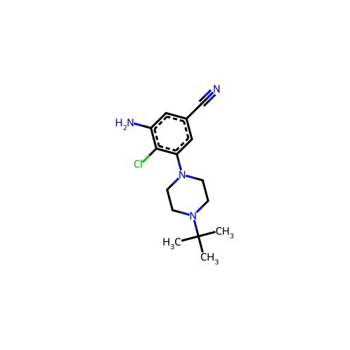 CC(C)(C)N1CCN(c2cc(C#N)cc(N)c2Cl)CC1